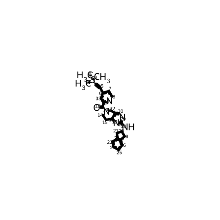 CS(C)(C)C#Cc1ccnc(C(=O)N2CCc3nc(NC4Cc5ccccc5C4)ncc3C2)c1